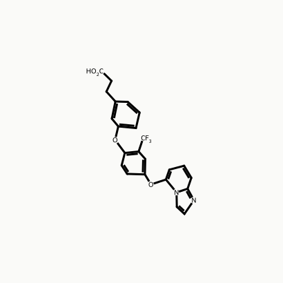 O=C(O)CCc1cccc(Oc2ccc(Oc3cccc4nccn34)cc2C(F)(F)F)c1